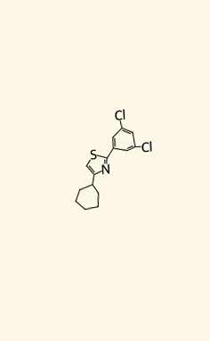 Clc1cc(Cl)cc(-c2nc(C3CCCCC3)cs2)c1